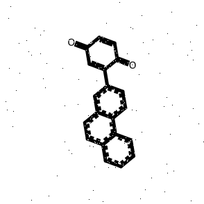 O=C1C=CC(=O)C(c2ccc3c(ccc4ccccc43)c2)=C1